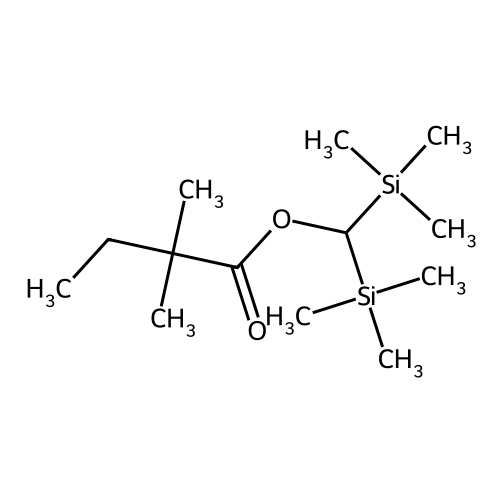 CCC(C)(C)C(=O)OC([Si](C)(C)C)[Si](C)(C)C